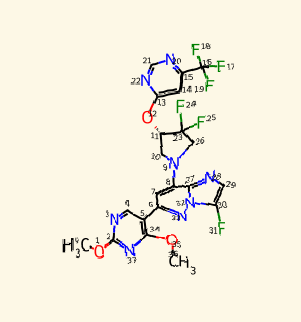 COc1ncc(-c2cc(N3C[C@H](Oc4cc(C(F)(F)F)ncn4)C(F)(F)C3)c3ncc(F)n3n2)c(OC)n1